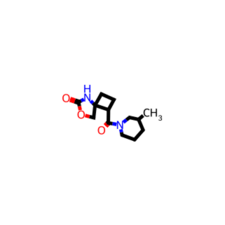 CC1CCCN(C(=O)C2CCC23COC(=O)N3)C1